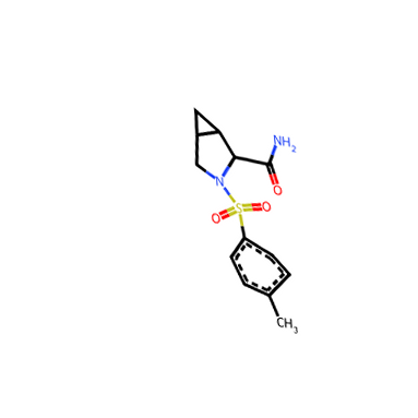 Cc1ccc(S(=O)(=O)N2CC3CC3C2C(N)=O)cc1